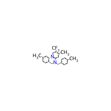 Cc1ccc(CN(Cc2ccc(C)cc2)c2cc(C)c(C(F)(F)F)cn2)cc1